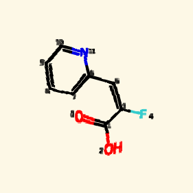 O=C(O)/C(F)=C\c1ccccn1